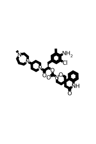 Cc1cc(C[C@@H](OC(=O)N2CCC3(CO2)CC(=O)Nc2ccccc23)C(=O)N2CCC(N3CCCN(C)CC3)CC2)cc(Cl)c1N